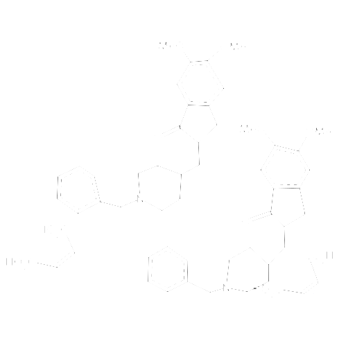 COc1cc2c(cc1OC)C(=O)C(CC1CCN(Cc3ccccc3)CC1)C2.COc1cc2c(cc1OC)C(=O)C(CC1CCN(Cc3ccccc3)CC1)C2.O=C(O)/C=C\C(=O)O.O=C(O)/C=C\C(=O)O